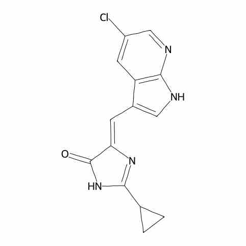 O=C1NC(C2CC2)=N/C1=C\c1c[nH]c2ncc(Cl)cc12